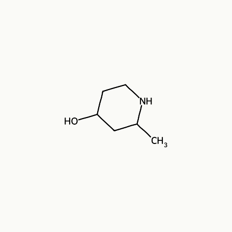 CC1CC(O)CCN1